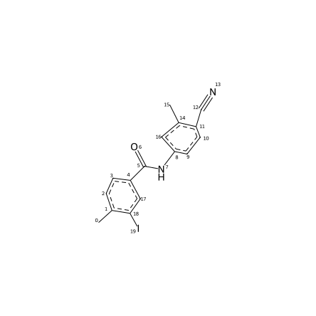 Cc1ccc(C(=O)Nc2ccc(C#N)c(C)c2)cc1I